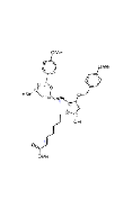 CCCC[C@H](C)C[C@@H](/C=C/[C@H]1C(OCc2ccc(OC)cc2)C[C@H](O)[C@@H]1CCCC/C=C/C(=O)OC)OCc1ccc(OC)cc1